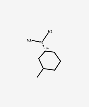 CCN(CC)[C@@H]1CCCC(C)C1